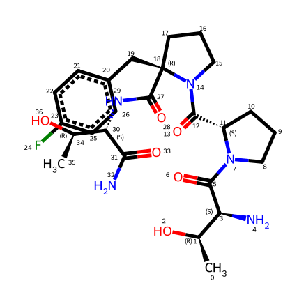 C[C@@H](O)[C@H](N)C(=O)N1CCC[C@H]1C(=O)N1CCC[C@@]1(Cc1ccc(F)cc1)C(=O)N[C@H](C(N)=O)[C@@H](C)O